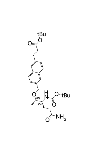 C[C@@H](OCc1ccc2cc(CCC(=O)OC(C)(C)C)ccc2c1)[C@H](CCC(N)=O)NC(=O)OC(C)(C)C